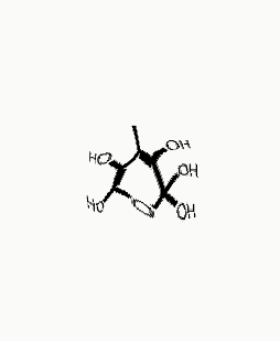 CC1=C(O)C(O)(O)OC(O)=C1O